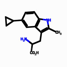 Cc1[nH]c2ccc(C3CC3)cc2c1CC(N)C(=O)O